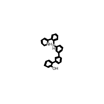 Oc1ccccc1-c1cccc(-c2cccc(Nc3ccccc3C3=CC=CCN3)c2)c1